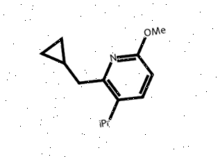 COc1ccc(C(C)C)c(CC2CC2)n1